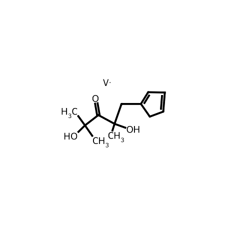 CC(C)(O)C(=O)C(C)(O)CC1=CC=CC1.[V]